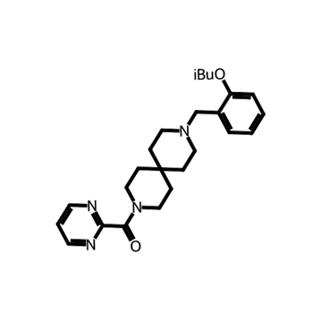 CC(C)COc1ccccc1CN1CCC2(CC1)CCN(C(=O)c1ncccn1)CC2